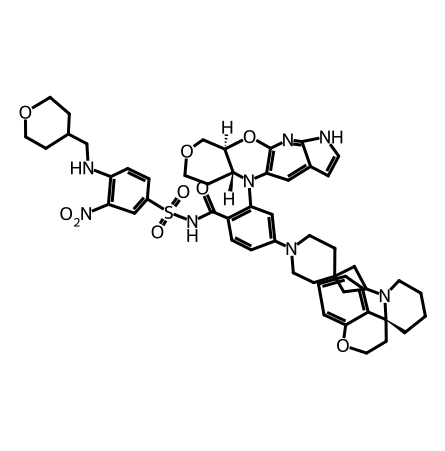 O=C(NS(=O)(=O)c1ccc(NCC2CCOCC2)c([N+](=O)[O-])c1)c1ccc(N2CCC3(CC2)CC(N2CCCC[C@]24CCOc2ccccc24)C3)cc1N1c2cc3cc[nH]c3nc2O[C@@H]2COCC[C@H]21